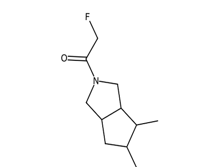 CC1CC2CN(C(=O)CF)CC2C1C